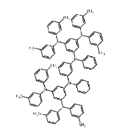 Cc1cccc(N(c2cccc(C)c2)c2cc(N(c3cccc(C)c3)c3cccc(C)c3)cc(N(c3ccccc3)c3cccc(N(c4ccccc4)c4cc(N(c5cccc(C)c5)c5cccc(C)c5)cc(N(c5cccc(C)c5)c5cccc(C)c5)c4)c3)c2)c1